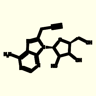 C#CCc1nc2c(N)ncnc2n1[C@@H]1O[C@H](CO)C(O)C1O